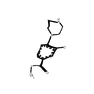 COC(=O)c1ccc(N2CCNCC2)c(Cl)c1